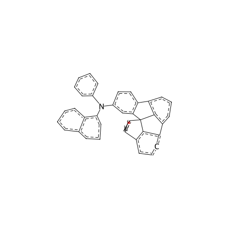 c1ccc(N(c2ccc3c(c2)C24c5ccccc5-c5cccc(c52)-c2cccc-3c24)c2cccc3ccccc23)cc1